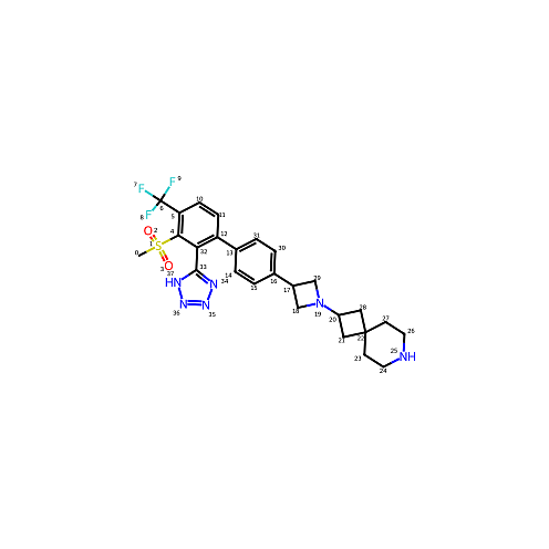 CS(=O)(=O)c1c(C(F)(F)F)ccc(-c2ccc(C3CN(C4CC5(CCNCC5)C4)C3)cc2)c1-c1nnn[nH]1